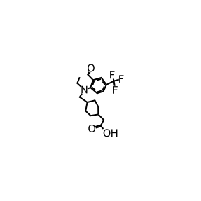 CCN(CC1CCC(CC(=O)O)CC1)c1ccc(C(F)(F)F)cc1C=O